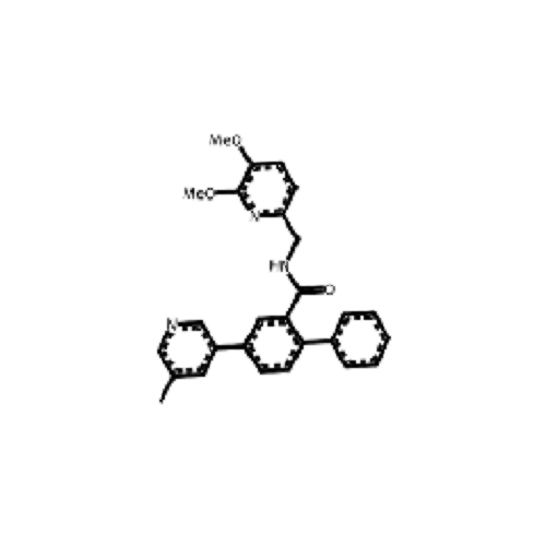 COc1ccc(CNC(=O)c2cc(-c3cncc(C)c3)ccc2-c2ccccc2)nc1OC